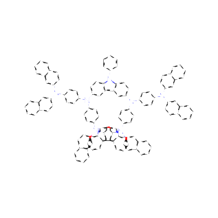 c1ccc(-n2c3ccc(N(c4ccc(N(c5ccc6ccccc6c5)c5ccc6ccccc6c5)cc4)c4ccc(N(c5ccc6ccccc6c5)c5ccc6ccccc6c5)cc4)cc3c3cc(N(c4ccc(N(c5ccc6ccccc6c5)c5ccc6ccccc6c5)cc4)c4ccc(N(c5ccc6ccccc6c5)c5ccc6ccccc6c5)cc4)ccc32)cc1